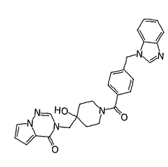 O=C(c1ccc(Cn2cnc3ccccc32)cc1)N1CCC(O)(Cn2cnn3cccc3c2=O)CC1